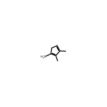 CC1=CCC([SiH3])=C1C